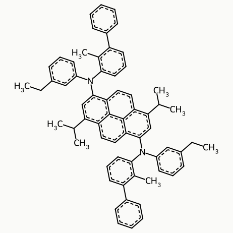 CCc1cccc(N(c2cccc(-c3ccccc3)c2C)c2cc(C(C)C)c3ccc4c(N(c5cccc(CC)c5)c5cccc(-c6ccccc6)c5C)cc(C(C)C)c5ccc2c3c54)c1